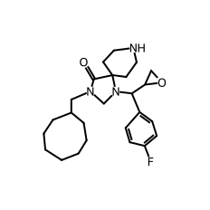 O=C1N(CC2CCCCCCC2)CN(C(c2ccc(F)cc2)C2CO2)C12CCNCC2